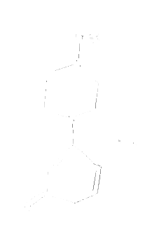 CCCCCCN1CCN(C2=CC(=O)CC=C2)CC1.Cl.Cl